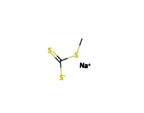 CSC(=S)[S-].[Na+]